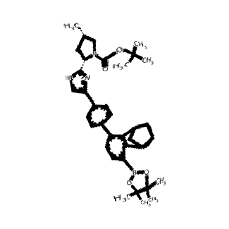 C[C@H]1C[C@@H](c2nc(-c3ccc(-c4ccc(B5OC(C)(C)C(C)(C)O5)c5c4C4CCC5C4)cc3)c[nH]2)N(C(=O)OC(C)(C)C)C1